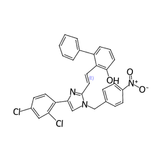 O=[N+]([O-])c1ccc(Cn2cc(-c3ccc(Cl)cc3Cl)nc2/C=C/c2c(O)cccc2-c2ccccc2)cc1